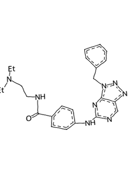 CCN(CC)CCNC(=O)c1ccc(Nc2ncc3nnn(Cc4ccccc4)c3n2)cc1